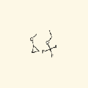 CCOC(F)(F)F.COC1CC1